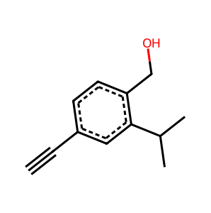 C#Cc1ccc(CO)c(C(C)C)c1